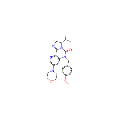 COc1ccc(CN2C(=O)N3C(=NCC3C(C)C)c3ncc(N4CCOCC4)cc32)cc1